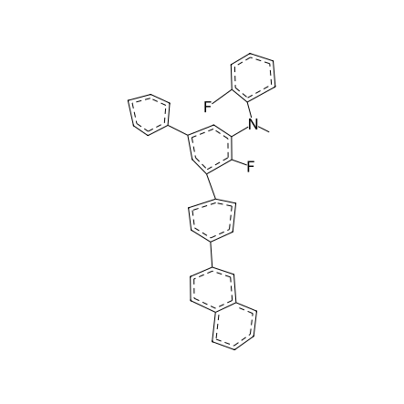 CN(c1ccccc1F)c1cc(-c2ccccc2)cc(-c2ccc(-c3ccc4ccccc4c3)cc2)c1F